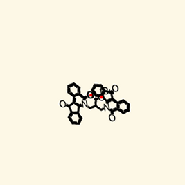 CC(C)(C)OC(=O)C(Cn1c2c(c3ccccc3c1=O)C(=O)c1ccccc1-2)Cn1c2c(c3ccccc3c1=O)C(=O)c1ccccc1-2